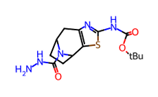 CC(C)(C)OC(=O)Nc1nc2c(s1)C1CCC(C2)N1C(=O)NN